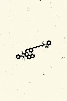 O=C1c2c(c3ccc4cc(CCCCCCC(=O)n5nnc6ccccc65)ccc4c3c3c2ccc2ccccc23)C(=O)N1c1ccccc1